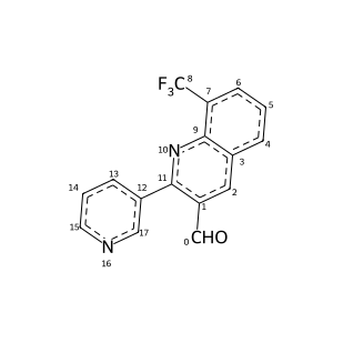 O=Cc1cc2cccc(C(F)(F)F)c2nc1-c1cccnc1